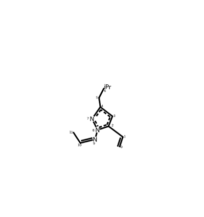 C=Cc1cc(CC(C)C)nn1/N=C\C